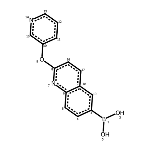 OB(O)c1ccc2nc(Oc3cccnc3)ccc2c1